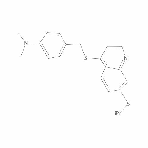 CC(C)Sc1ccc2c(SCc3ccc(N(C)C)cc3)ccnc2c1